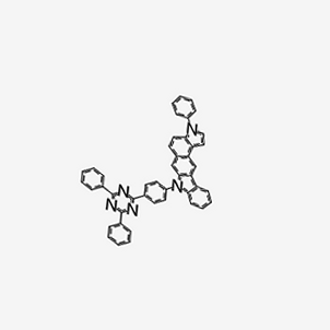 c1ccc(-c2nc(-c3ccccc3)nc(-c3ccc(-n4c5ccccc5c5cc6c(ccc7c6ccn7-c6ccccc6)cc54)cc3)n2)cc1